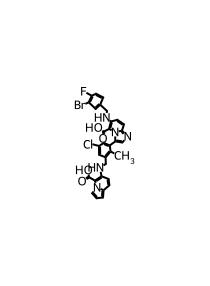 Cc1c(CNc2ccc3cccn3c2C(=O)O)cc(Cl)cc1-c1cnc2ccc(NCc3ccc(F)c(Br)c3)c(C(=O)O)n12